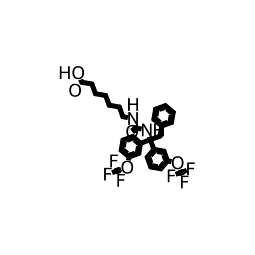 O=C(O)CCCCCCNC(=O)NC(Cc1ccccc1)(c1cccc(OC(F)(F)F)c1)c1cccc(OC(F)(F)F)c1